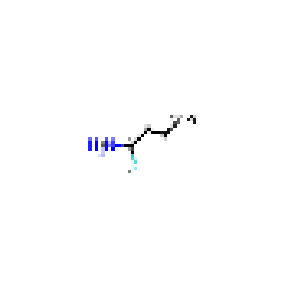 CCCCCC(N)F